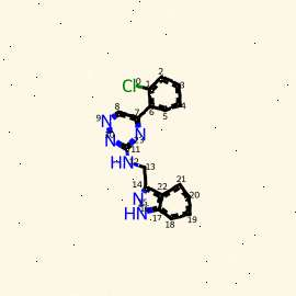 Clc1ccccc1-c1cnnc(NCc2n[nH]c3ccccc23)n1